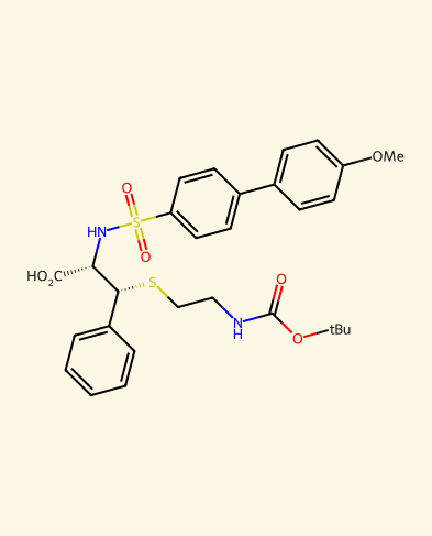 COc1ccc(-c2ccc(S(=O)(=O)N[C@@H](C(=O)O)[C@H](SCCNC(=O)OC(C)(C)C)c3ccccc3)cc2)cc1